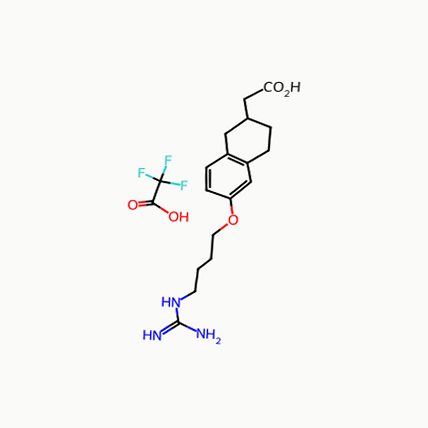 N=C(N)NCCCCOc1ccc2c(c1)CCC(CC(=O)O)C2.O=C(O)C(F)(F)F